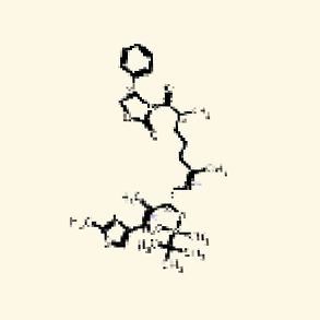 C/C(=C/C[C@H](O[Si](C)(C)C(C)(C)C)/C(C)=C/c1csc(C)n1)CCC[C@H](C)C(=O)N1C(=O)OC[C@H]1c1ccccc1